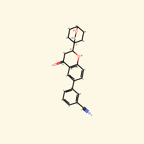 N#Cc1cccc(-c2ccc3c(c2)C(=O)CC(C24CCC(CC2)OC4)O3)c1